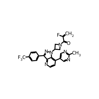 C=C(F)C(=O)N1CC(n2nc(-c3ccc(C(F)(F)F)cc3)c3nccc(-c4cnc(C)nc4)c32)C1